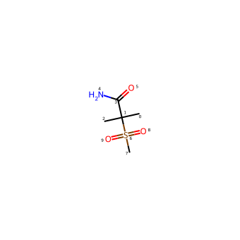 CC(C)(C(N)=O)S(C)(=O)=O